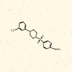 CC(=O)Nc1ccc(S(=O)(=O)N2CCN(c3cccc(C(F)(F)F)c3)CC2)cc1